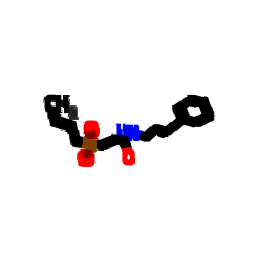 C=CCCS(=O)(=O)CCC(=O)NCC=Cc1ccccc1